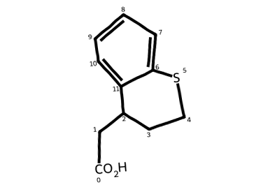 O=C(O)CC1CCSc2ccccc21